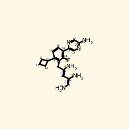 N/C=C(N)\C=C(/N)Cc1c(C2CCC2)ccc(-c2cnc(N)cn2)c1F